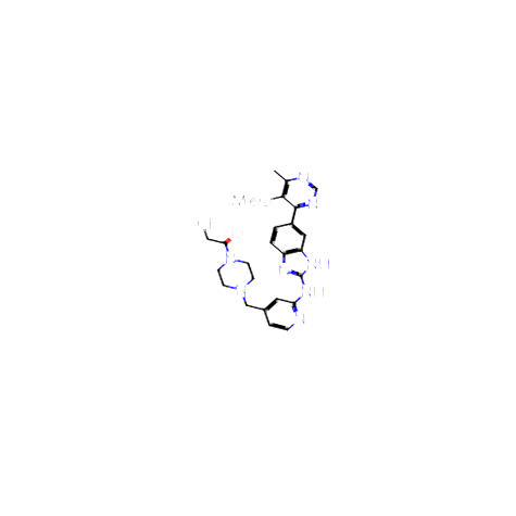 COc1c(C)ncnc1-c1ccc2nc(Nc3cc(CN4CCN(C(=O)CC(F)(F)F)CC4)ccn3)[nH]c2c1